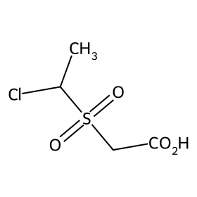 CC(Cl)S(=O)(=O)CC(=O)O